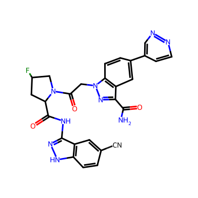 N#Cc1ccc2[nH]nc(NC(=O)C3CC(F)CN3C(=O)Cn3nc(C(N)=O)c4cc(-c5ccnnc5)ccc43)c2c1